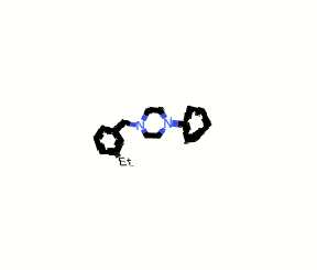 CCc1cccc(CN2CCN(c3ccccc3)CC2)c1